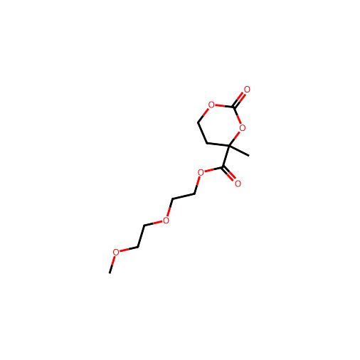 COCCOCCOC(=O)C1(C)CCOC(=O)O1